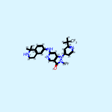 CC(C)n1c(=O)c2cnc(Nc3ccc4c(c3)CCNC4(C)C)cc2n1-c1ccnc(C(C)(C)C(F)(F)F)c1